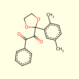 Cc1ccc(C)c(C2(C(=O)C(=O)c3ccccc3)OCCO2)c1